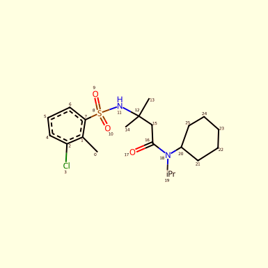 Cc1c(Cl)cccc1S(=O)(=O)NC(C)(C)CC(=O)N(C(C)C)C1CCCCC1